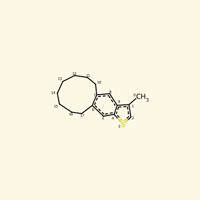 Cc1csc2cc3c(cc12)CCCCCCCC3